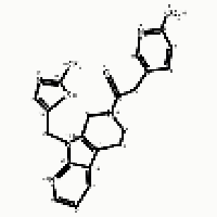 O=C(O)c1ccc(CC(=O)N2CCc3c(n(Cc4cnc(C(F)(F)F)s4)c4ncccc34)C2)cn1